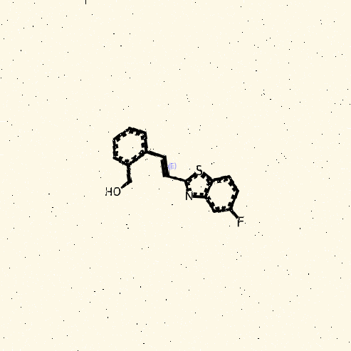 OCc1ccccc1/C=C/c1nc2cc(F)ccc2s1